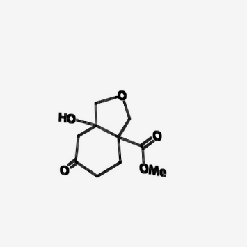 COC(=O)C12CCC(=O)CC1(O)COC2